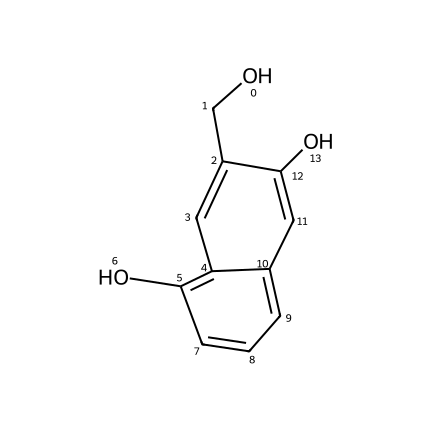 OCc1cc2c(O)cccc2cc1O